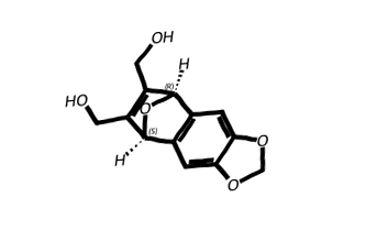 OCC1=C(CO)[C@@H]2O[C@H]1c1cc3c(cc12)OCO3